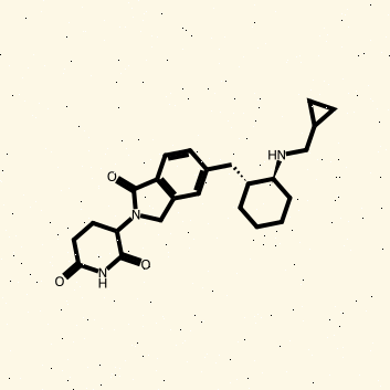 O=C1CCC(N2Cc3cc(C[C@H]4CCCC[C@@H]4NCC4CC4)ccc3C2=O)C(=O)N1